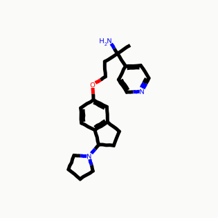 CC(N)(CCOc1ccc2c(c1)CCC2N1CCCC1)c1ccncc1